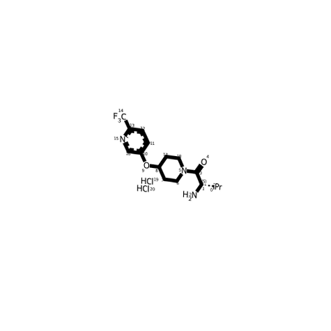 CC(C)[C@H](N)C(=O)N1CCC(Oc2ccc(C(F)(F)F)nc2)CC1.Cl.Cl